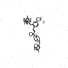 Cc1cc(CN2CCN(C(=O)C=Cc3ccc(C(F)(F)F)cc3Cn3nnc(C)n3)CC2)on1